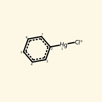 [Cl][Hg][c]1cc[c]cc1